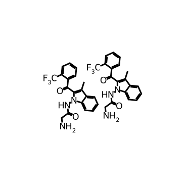 Cc1c(C(=O)c2ccccc2C(F)(F)F)n(NC(=O)CN)c2ccccc12.Cc1c(C(=O)c2ccccc2C(F)(F)F)n(NC(=O)CN)c2ccccc12